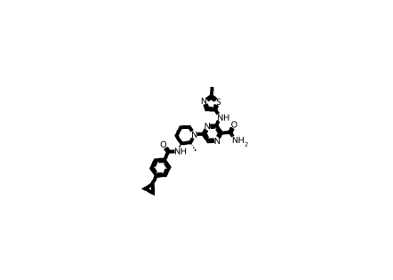 Cc1ncc(Nc2nc(N3CCC[C@@H](NC(=O)c4ccc(C5CC5)cc4)[C@H]3C)cnc2C(N)=O)s1